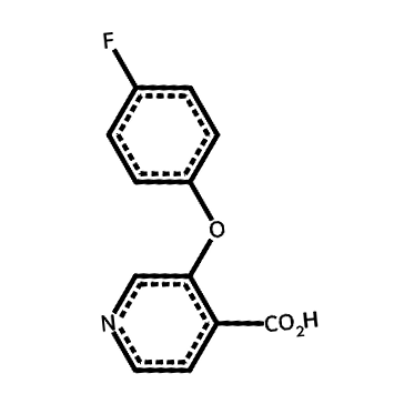 O=C(O)c1ccncc1Oc1ccc(F)cc1